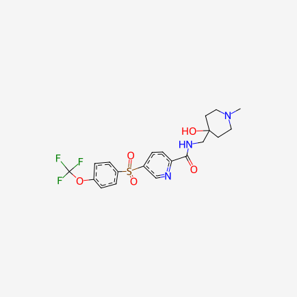 CN1CCC(O)(CNC(=O)c2ccc(S(=O)(=O)c3ccc(OC(F)(F)F)cc3)cn2)CC1